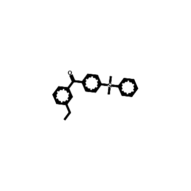 CCc1cccc(C(=O)c2ccc([Si](C)(C)c3ccccc3)cc2)c1